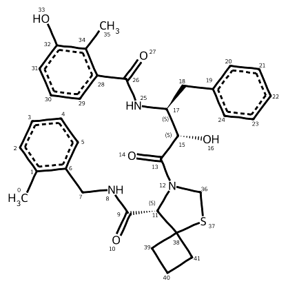 Cc1ccccc1CNC(=O)[C@@H]1N(C(=O)[C@@H](O)[C@H](Cc2ccccc2)NC(=O)c2cccc(O)c2C)CSC12CCC2